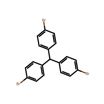 Brc1ccc([C](c2ccc(Br)cc2)c2ccc(Br)cc2)cc1